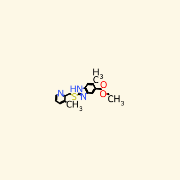 CCOC(=O)c1cc2nc(SCc3ncccc3C)[nH]c2cc1C